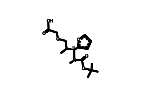 CC(COCC(=O)O)[C@@H](c1ccco1)N(C)C(=O)OC(C)(C)C